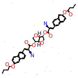 CCCC(=O)Oc1ccc2cc(/C=C(\C#N)C(=O)O[C@H]3CO[C@H]4[C@@H]3OC[C@H]4OC(=O)/C(C#N)=C/c3ccc4cc(OC(=O)CCC)ccc4c3)ccc2c1